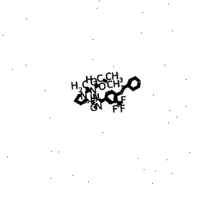 C=C(NC(=O)OC(C)(C)C)N1CCC[C@H]1c1nc(-c2ccc(CCC3=CCCCC3)c(C(F)(F)F)c2)no1